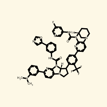 CN(C)c1cccc(-c2ccc3c(n2)N(C(=O)Nc2cccc(-c4cnco4)c2)[C@@H]2C(c4ccc(-c5ccc6c(n5)N(C(=O)Nc5cncc(F)c5)[C@@H]5CCCN6C5)cc4C(F)(F)F)CCN32)c1